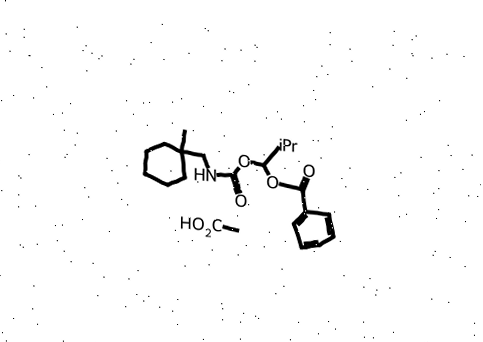 CC(=O)O.CC(C)C(OC(=O)NCC1(C)CCCCC1)OC(=O)c1ccccc1